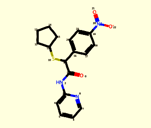 O=C(Nc1ccccn1)C(SC1CCCC1)c1ccc([N+](=O)[O-])cc1